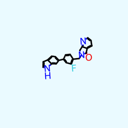 O=C1c2cccnc2CN1Cc1ccc(-c2ccc3cc[nH]c3c2)cc1F